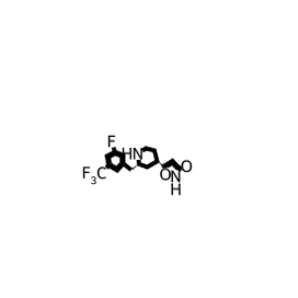 O=c1cc([C@H]2CCN[C@@H](Cc3cc(F)cc(C(F)(F)F)c3)C2)o[nH]1